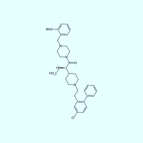 CSc1ccccc1CN1CCN(C(=O)[C@H](NC(=O)O)C2CCN(CCc3cc(Cl)ccc3-c3ccccc3)CC2)CC1